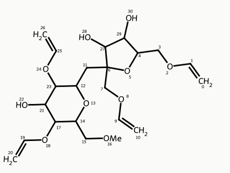 C=COCC1OC(COC=C)(CC2OC(COC)C(OC=C)C(O)C2OC=C)C(O)C1O